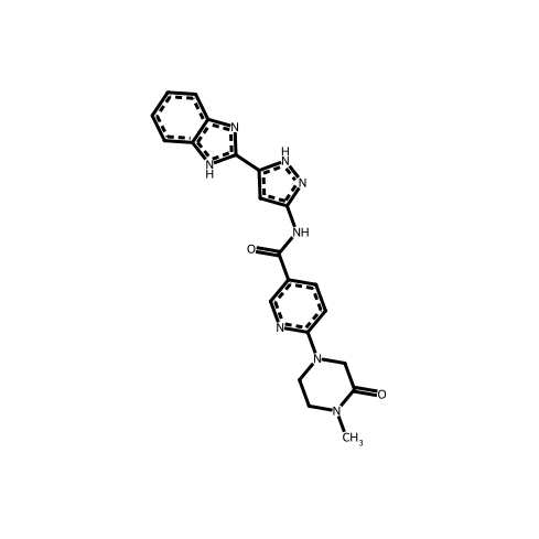 CN1CCN(c2ccc(C(=O)Nc3cc(-c4nc5ccccc5[nH]4)[nH]n3)cn2)CC1=O